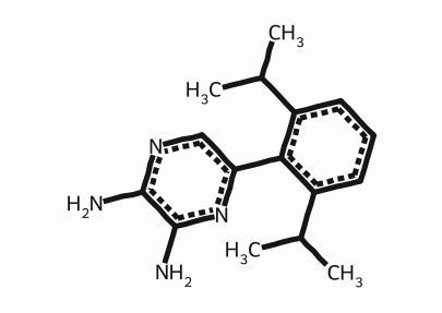 CC(C)c1cccc(C(C)C)c1-c1cnc(N)c(N)n1